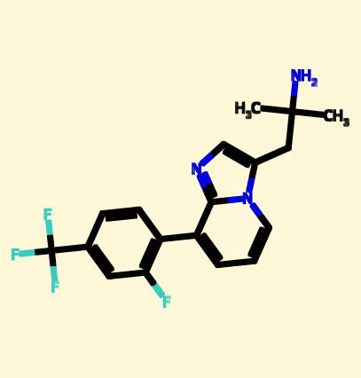 CC(C)(N)Cc1cnc2c(-c3ccc(C(F)(F)F)cc3F)cccn12